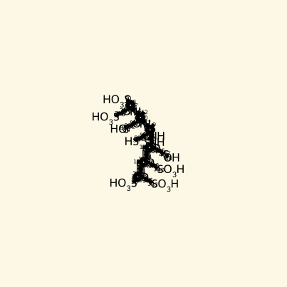 Cc1cc(NC(=O)Nc2cc(C)c(N=Nc3cc(C)c(N=Nc4ccc(S(=O)(=O)O)cc4OCCCS(=O)(=O)O)cc3OCCCS(=O)(=O)O)cc2OCCCSO)c(OCCCS)cc1N=Nc1cc(C)c(N=Nc2ccc(S(=O)(=O)O)cc2OCCCS(=O)(=O)O)cc1OCCCSO